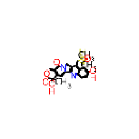 C[C@@]1(O)C(=O)OCc2c1cc1n(c2=O)Cc2c-1nc1ccc(O)cc1c2C[SH](C)(C)=O